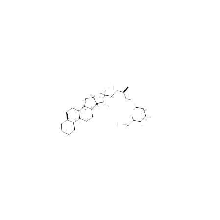 C=C(CC[C@@]1(O)O[C@H]2C[C@H]3[C@@H]4CC=C5C[CH]CC[C@]5(C)[C@H]4CC[C@]3(C)[C@H]2[C@@H]1C)CO[C@@H]1O[C@H](CO)[C@@H](O)[C@@H](O)[C@H]1O